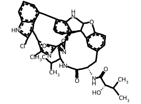 CC(C)C1NC(=O)[C@@H](NC(=O)[C@@H](O)C(C)C)Cc2ccc3c(c2)C24c5cccc(c5NC2O3)-c2cccc3[nH]c(Cl)c(c23)-c2oc(nc2Cl)-c2nc1oc24